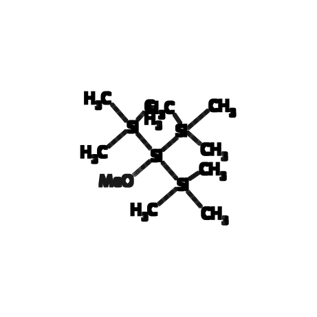 CO[Si]([Si](C)(C)C)([Si](C)(C)C)[Si](C)(C)C